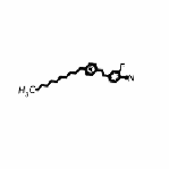 CCCCCCCCCCCC12CCC(CCc3ccc(C#N)c(F)c3)(CC1)CC2